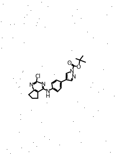 CC(C)(C)OC(=O)n1cc(-c2ccc(Nc3nc(Cl)nc4c3CCC4)cc2)cn1